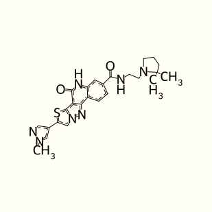 Cn1cc(-c2cn3nc4c5ccc(C(=O)NCCN6CCCC6(C)C)cc5[nH]c(=O)c4c3s2)cn1